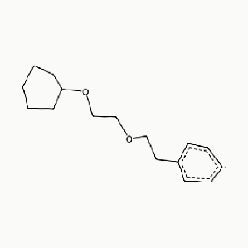 [c]1ccc(CCOCCOC2CCCCC2)cc1